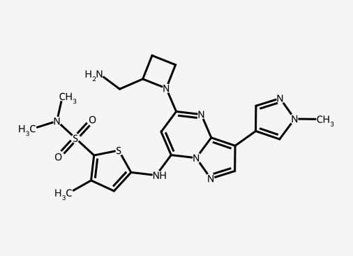 Cc1cc(Nc2cc(N3CCC3CN)nc3c(-c4cnn(C)c4)cnn23)sc1S(=O)(=O)N(C)C